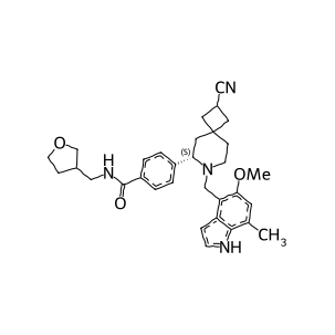 COc1cc(C)c2[nH]ccc2c1CN1CCC2(CC(C#N)C2)C[C@H]1c1ccc(C(=O)NCC2CCOC2)cc1